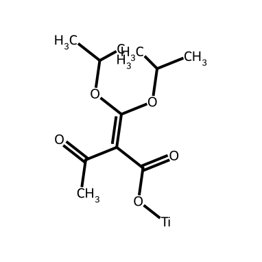 CC(=O)C(C(=O)[O][Ti])=C(OC(C)C)OC(C)C